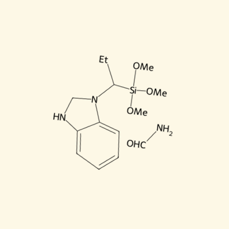 CCC(N1CNc2ccccc21)[Si](OC)(OC)OC.NC=O